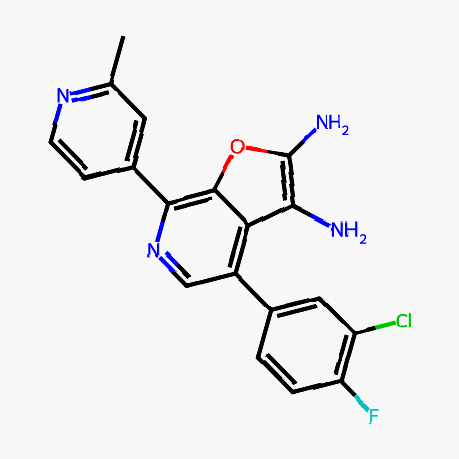 Cc1cc(-c2ncc(-c3ccc(F)c(Cl)c3)c3c(N)c(N)oc23)ccn1